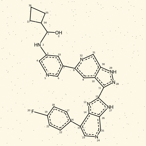 OC(Nc1cncc(-c2cc3c(-c4nc5c(-c6ccc(F)cc6)cncc5[nH]4)n[nH]c3cn2)c1)C1CCC1